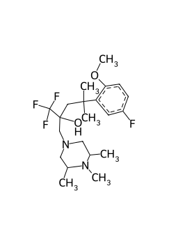 COc1ccc(F)cc1C(C)(C)CC(O)(CN1CC(C)N(C)C(C)C1)C(F)(F)F